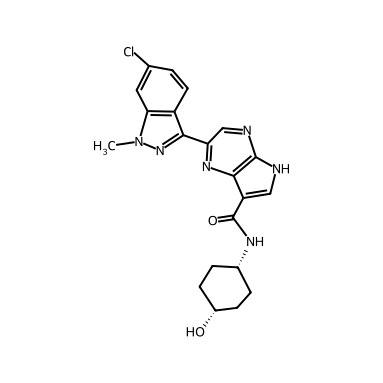 Cn1nc(-c2cnc3[nH]cc(C(=O)N[C@H]4CC[C@@H](O)CC4)c3n2)c2ccc(Cl)cc21